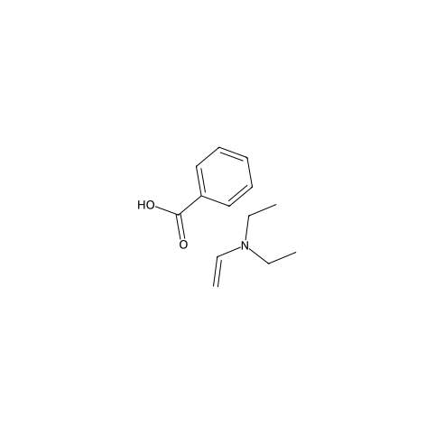 C=CN(CC)CC.O=C(O)c1ccccc1